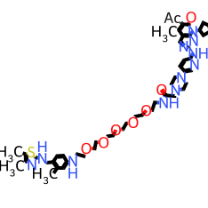 CC(=O)c1c(C)c2cnc(Nc3ccc(N4CCN(CC(=O)NCCOCCOCCOCCOCCOCCNc5ccc(CNc6nc(C)c(C)s6)c(C)c5)CC4)cn3)nc2n(C2CCCC2)c1=O